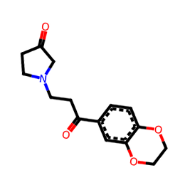 O=C1CCN(CCC(=O)c2ccc3c(c2)OCCO3)C1